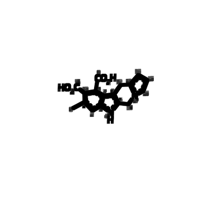 Cc1cc2[nH]c3c(c2c(C(=O)O)c1C(=O)O)Cc1cccn1C3